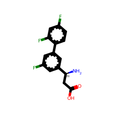 N[C@@H](CC(=O)O)c1cc(F)cc(-c2ccc(F)cc2F)c1